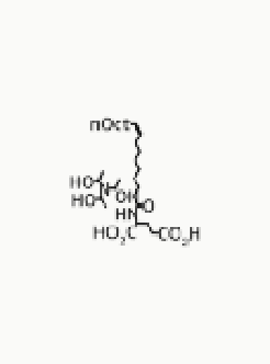 CC(O)N(C(C)O)C(C)O.CCCCCCCC/C=C\CCCCCCCC(=O)N[C@@H](CCC(=O)O)C(=O)O